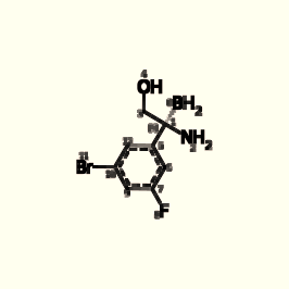 B[C@@](N)(CO)c1cc(F)cc(Br)c1